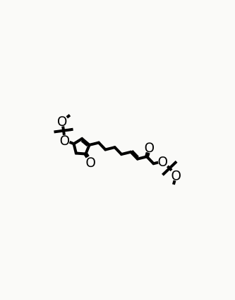 COC(C)(C)OCC(=O)/C=C/CCCCC1=CC(OC(C)(C)OC)CC1=O